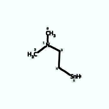 CN(C)C[CH2][SnH]